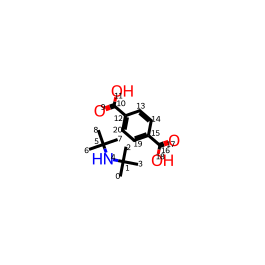 CC(C)(C)NC(C)(C)C.O=C(O)c1ccc(C(=O)O)cc1